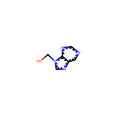 OCn1cnc2cncnc21